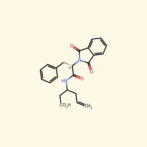 C=CCC(CC(=O)O)NC(=O)[C@H](Cc1ccccc1)N1C(=O)c2ccccc2C1=O